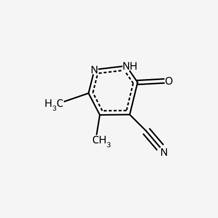 Cc1n[nH]c(=O)c(C#N)c1C